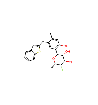 Cc1cc(O)c([C@@H]2O[C@H](C)[C@@H](F)[C@H](O)[C@H]2O)cc1Cc1cc2ccccc2s1